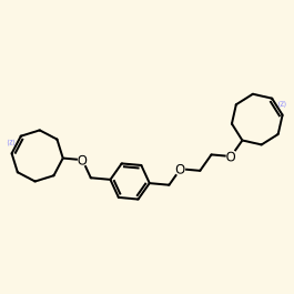 C1=C\CCC(OCCOCc2ccc(COC3CC/C=C\CCC3)cc2)CCC/1